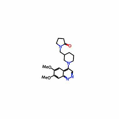 COc1cc2nncc(N3CCCC(CN4CCCC4=O)C3)c2cc1OC